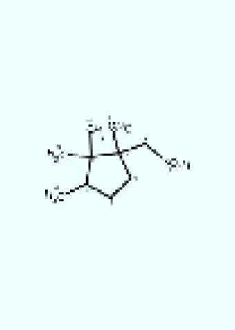 CC1CCC(C=O)(CS(=O)(=O)O)C1(C)C